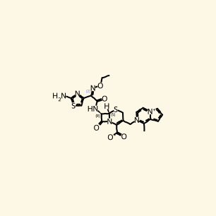 CCO/N=C(\C(=O)N[C@@H]1C(=O)N2C(C(=O)[O-])=C(Cn3cc[n+]4cccc-4c3C)CS[C@@H]12)c1csc(N)n1